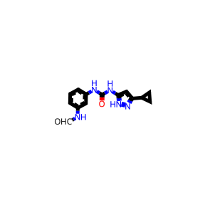 O=CNc1cccc(NC(=O)Nc2cc(C3CC3)n[nH]2)c1